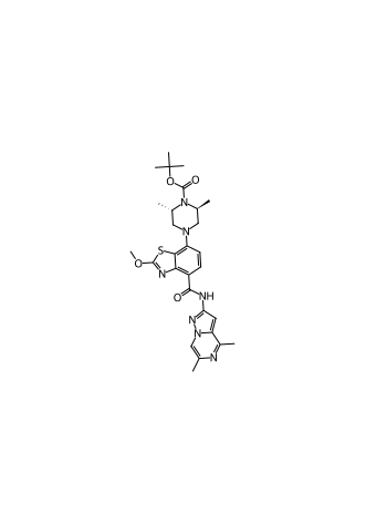 COc1nc2c(C(=O)Nc3cc4c(C)nc(C)cn4n3)ccc(N3C[C@H](C)N(C(=O)OC(C)(C)C)[C@@H](C)C3)c2s1